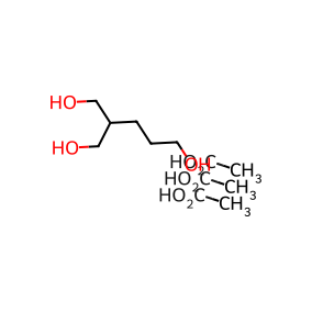 CC(=O)O.CC(=O)O.CC(=O)O.OCCCC(CO)CO